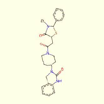 CCN1C(=O)C(CC(=O)N2CCC(N3Cc4ccccc4NC3=O)CC2)SC1c1ccccc1